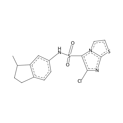 CC1CCc2ccc(NS(=O)(=O)c3c(Cl)nc4sccn34)cc21